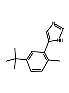 Cc1ccc(C(C)(C)C)cc1-c1cnc[nH]1